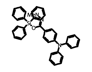 CN/N=C(\O[Si](c1ccccc1)(c1ccccc1)c1ccccc1)c1ccc(N(c2ccccc2)c2ccccc2)cc1